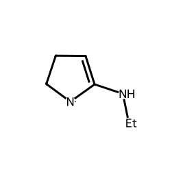 CCNC1=CCC[N]1